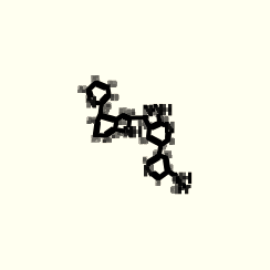 CC(C)Nc1cncc(-c2cnc3[nH]nc(-c4cc5c(-c6ccccn6)cccc5[nH]4)c3c2)c1